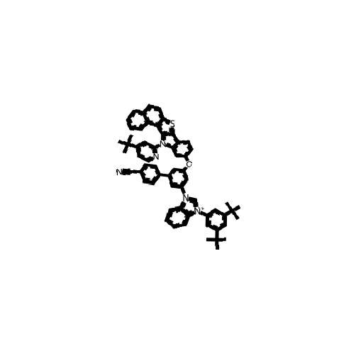 CC(C)(C)c1cc(-[n+]2cn(-c3cc(Oc4ccc5c6sc7ccc8ccccc8c7c6n(-c6cc(C(C)(C)C)ccn6)c5c4)cc(-c4ccc(C#N)cc4)c3)c3ccccc32)cc(C(C)(C)C)c1